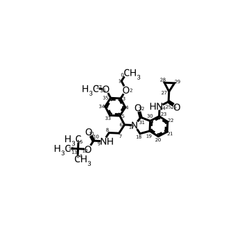 CCOc1cc(C(CCNC(=O)OC(C)(C)C)N2Cc3cccc(NC(=O)C4CC4)c3C2=O)ccc1OC